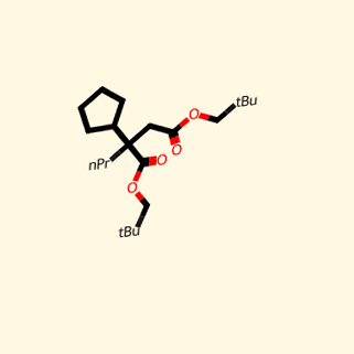 CCCC(CC(=O)OCC(C)(C)C)(C(=O)OCC(C)(C)C)C1CCCC1